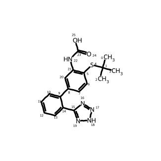 CC(C)(C)Sc1ccc(-c2ccccc2-c2nn[nH]n2)cc1NC(=O)O